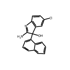 NC1=Nc2ccc(Cl)cc2C1(O)c1cccc2ccccc12